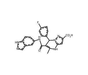 CC1=C(C(=O)Nc2ccc3[nH]ncc3c2)C(c2ccc(F)cc2)n2nc(C(=O)O)cc2N1